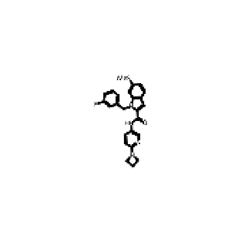 CSc1ccc2cc(C(=O)Nc3ccc(N4CCC4)nc3)n(Cc3cccc(F)c3)c2c1